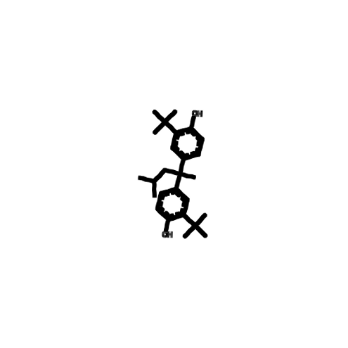 CC(C)CC(C)(c1ccc(O)c(C(C)(C)C)c1)c1ccc(O)c(C(C)(C)C)c1